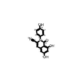 N#Cc1cc2cc(O)cc(O)c2c(=O)n1-c1ccc(O)cc1